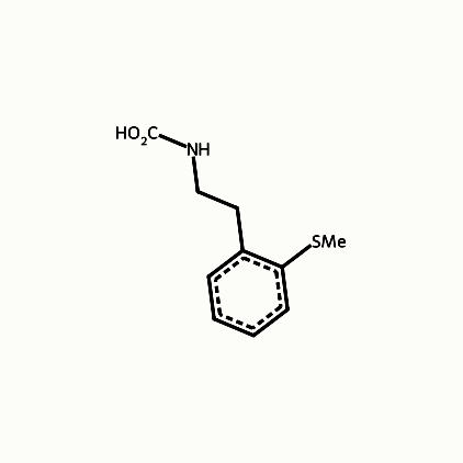 CSc1ccccc1CCNC(=O)O